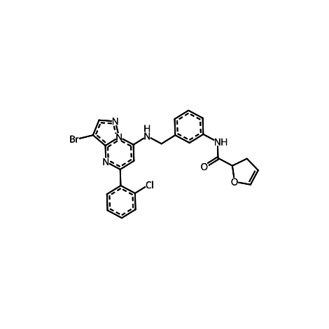 O=C(Nc1cccc(CNc2cc(-c3ccccc3Cl)nc3c(Br)cnn23)c1)C1CC=CO1